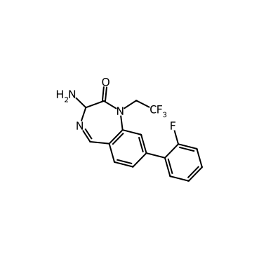 NC1N=Cc2ccc(-c3ccccc3F)cc2N(CC(F)(F)F)C1=O